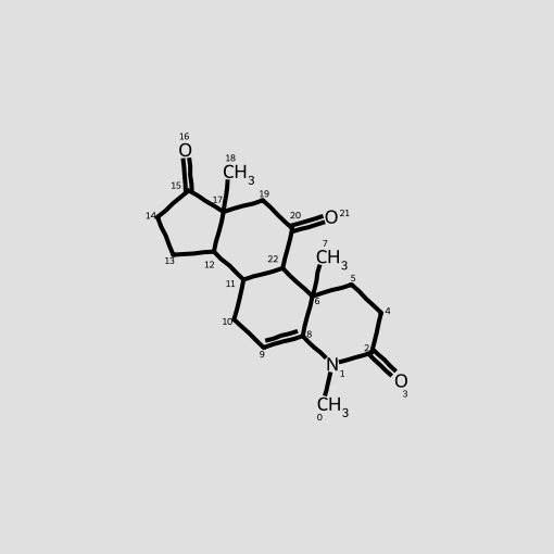 CN1C(=O)CCC2(C)C1=CCC1C3CCC(=O)C3(C)CC(=O)C12